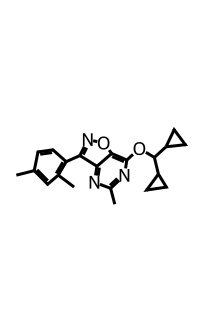 Cc1ccc(-c2noc3c(OC(C4CC4)C4CC4)nc(C)nc23)c(C)c1